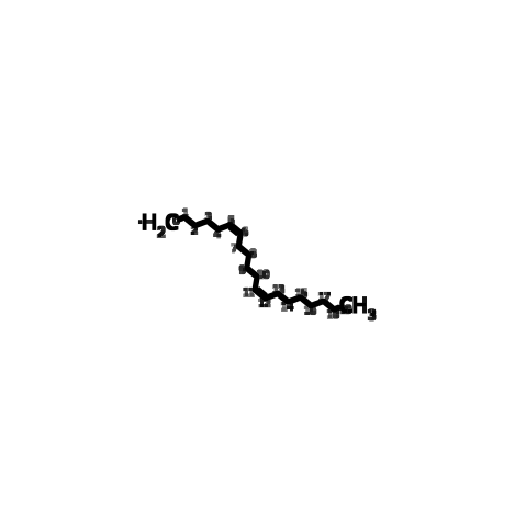 [CH2]CCCC/C=C\CCCC/C=C\CCCCCCC